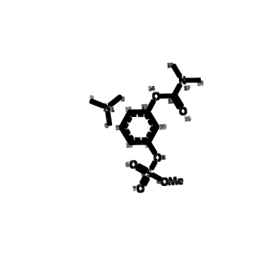 CN(C)C.COS(=O)(=O)Oc1cccc(OC(=O)N(C)C)c1